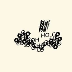 O=C(CCC(=O)OC(=O)CC(O)(CC(=O)Oc1ccccc1C(=O)Oc1ccccc1C(=O)Oc1ccccc1C(=O)Oc1ccccc1C(=O)O)C(=O)O)OC(=O)CC(O)(CC(=O)Oc1ccccc1C(=O)Oc1ccccc1C(=O)Oc1ccccc1C(=O)Oc1ccccc1C(=O)O)C(=O)O.[Na+].[Na+].[Na+].[Na+].[Na+].[Na+].[Na+].[Na+]